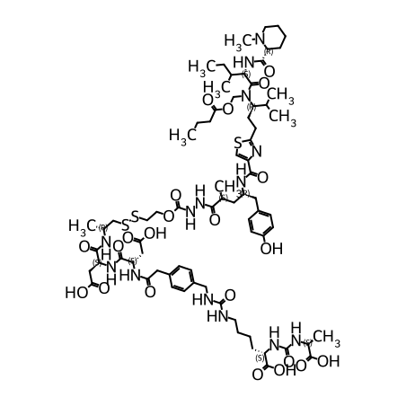 CCCC(=O)OCN(C(=O)[C@@H](NC(=O)[C@H]1CCCCN1C)C(C)CC)[C@H](CCc1nc(C(=O)N[C@@H](Cc2ccc(O)cc2)C[C@H](C)C(=O)NNC(=O)OCCSSC[C@@H](C)NC(=O)[C@H](CC(=O)O)NC(=O)[C@H](CC(=O)O)NC(=O)Cc2ccc(CNC(=O)NCCCC[C@H](NC(=O)N[C@@H](C)C(=O)O)C(=O)O)cc2)cs1)C(C)C